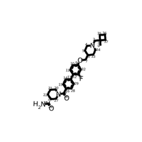 CC1(CN2CCC(COc3ccc(-c4ccc(C(=O)N5CCC[C@@H](C(N)=O)C5)cc4)c(F)c3)CC2)CCC1